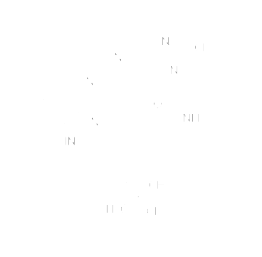 Cc1nc(CN2CCN(c3cccc4[nH]c(-c5ccc(C(C)(C)C)cc5)nc34)CC2)cn1CC(=O)NCC1CCCCC1